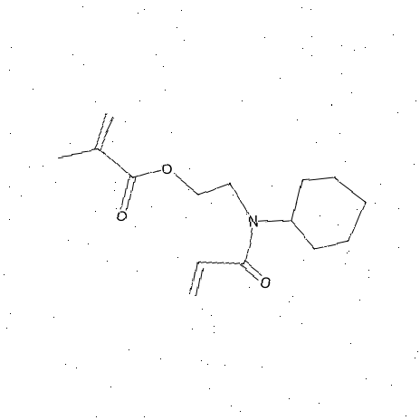 C=CC(=O)N(CCOC(=O)C(=C)C)C1CCCCC1